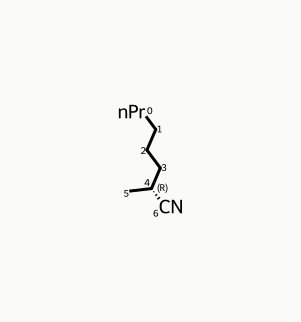 CCCCCC[C@@H](C)C#N